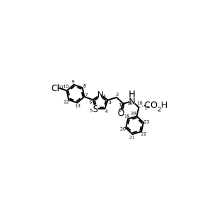 O=C(Cc1csc(-c2ccc(Cl)cc2)n1)N[C@H](C(=O)O)c1ccccc1